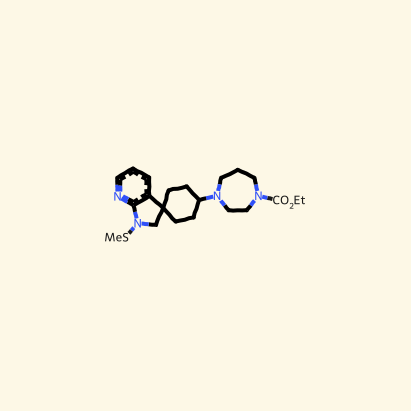 CCOC(=O)N1CCCN(C2CCC3(CC2)CN(SC)c2ncccc23)CC1